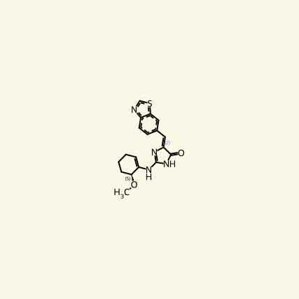 CO[C@H]1CCCC=C1NC1=N/C(=C\c2ccc3ncsc3c2)C(=O)N1